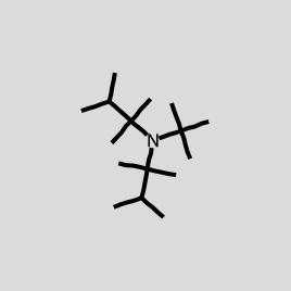 CC(C)C(C)(C)N(C(C)(C)C)C(C)(C)C(C)C